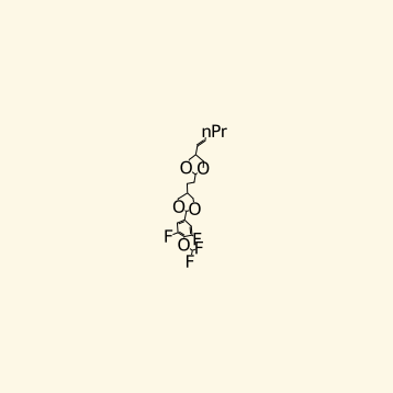 CCCC=CC1COC(CCC2COC(c3cc(F)c(OC(F)F)c(F)c3)OC2)OC1